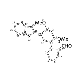 COc1cc(OC)c(-c2ccccc2C=O)cc1-c1cc2ccccc2s1